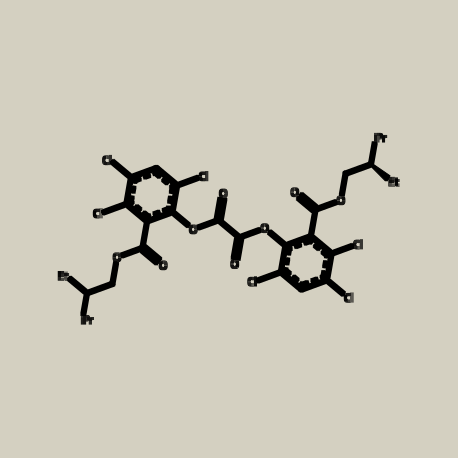 CCC(COC(=O)c1c(Cl)c(Cl)cc(Cl)c1OC(=O)C(=O)Oc1c(Cl)cc(Cl)c(Cl)c1C(=O)OC[C@H](CC)C(C)C)C(C)C